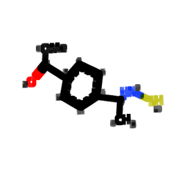 COC(=O)c1ccc(C(C)NS)cc1